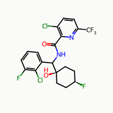 O=C(NC(c1cccc(F)c1Cl)[C@]1(O)CC[C@@H](F)CC1)c1nc(C(F)(F)F)ccc1Cl